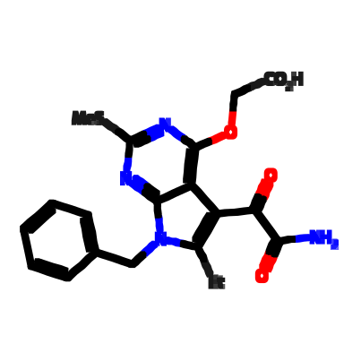 CCc1c(C(=O)C(N)=O)c2c(OCC(=O)O)nc(SC)nc2n1Cc1ccccc1